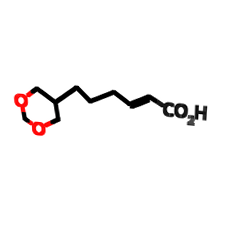 O=C(O)C=CCCCC1COCOC1